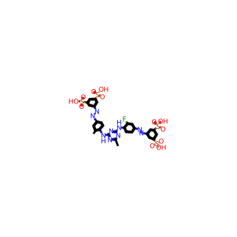 Cc1nc(Nc2ccc(N=Nc3cc(S(=O)(=O)O)cc(S(=O)(=O)O)c3)cc2C)nc(Nc2ccc(N=Nc3cc(S(=O)(=O)O)cc(S(=O)(=O)O)c3)cc2F)n1